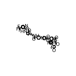 C[C@H](NC(=O)[C@H]1CC(=O)N(C)C1c1cccnc1)C(=O)N1CCC(S(=O)(=O)N2CCN([C@H]3CC[C@H](C(=O)NCCN4CC[C@H](Nc5ncnc6ccc(C(F)(F)F)cc56)C4=O)CC3)CC2)CC1